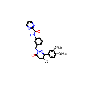 CCC1CC(=O)N(Cc2cccc(NC(=O)c3ncccn3)c2)N=C1c1ccc(OC)c(OC)c1